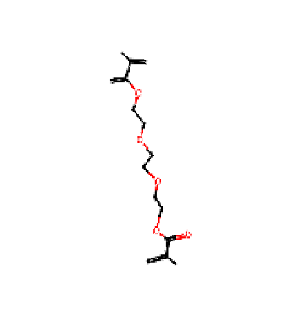 C=C(C)C(=C)OCCOCCOCCOC(=O)C(=C)C